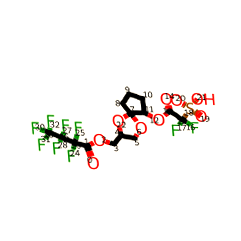 O=C(OCC1COC2(CCCC2OC(=O)C(F)(F)S(=O)(=O)O)O1)C(F)(F)C(F)(F)C(F)(F)F